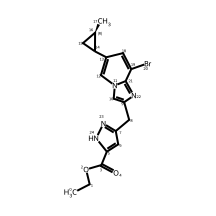 CCOC(=O)c1cc(Cc2cn3cc(C4C[C@H]4C)cc(Br)c3n2)n[nH]1